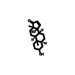 C[C@]12CC[C@H](O)C[C@@H]1CC[C@@H]1[C@@H]2CC[C@]2(C)C(=O)C=C[C@]12O